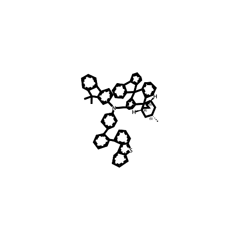 C[C@@H]1C[C@H]2CCC[C@@H](C1)C21c2ccccc2C2(c3ccccc3-c3ccccc32)c2cc(N(c3ccc(-c4ccccc4-c4cccc5sc6ccccc6c45)cc3)c3ccc4c(c3)C(C)(C)c3ccccc3-4)ccc21